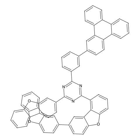 c1cc(-c2ccc3c4ccccc4c4ccccc4c3c2)cc(-c2nc(-c3ccc4c(c3)oc3ccccc34)nc(-c3cccc4oc5ccc(-c6ccc7oc8ccccc8c7c6)cc5c34)n2)c1